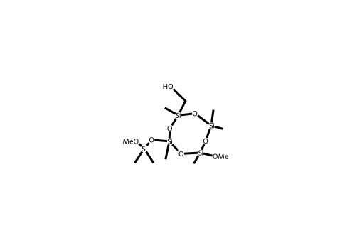 CO[Si](C)(C)O[Si]1(C)O[Si](C)(CO)O[Si](C)(C)O[Si](C)(OC)O1